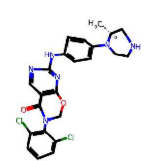 C[C@@H]1CNCCN1c1ccc(Nc2ncc3c(n2)OCN(c2c(Cl)cccc2Cl)C3=O)cc1